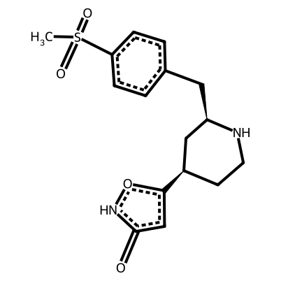 CS(=O)(=O)c1ccc(C[C@@H]2C[C@H](c3cc(=O)[nH]o3)CCN2)cc1